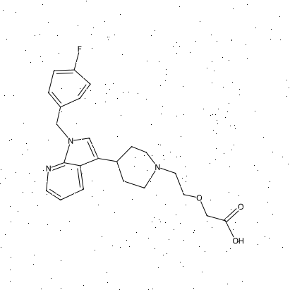 O=C(O)COCCN1CCC(c2cn(Cc3ccc(F)cc3)c3ncccc23)CC1